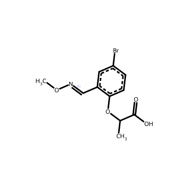 CO/N=C/c1cc(Br)ccc1OC(C)C(=O)O